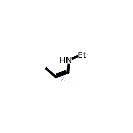 C[CH]N/C=C\C